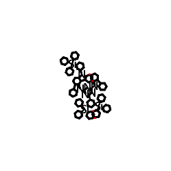 c1ccc([Si](c2ccccc2)(c2ccccc2)c2cccc(-n3c4ccccc4c4c3ccc3c5ccccc5n(-c5nc(-c6cc([Si](c7ccccc7)(c7ccccc7)c7ccccc7)cc([Si](c7ccccc7)(c7ccccc7)c7ccccc7)c6)nc(-n6c7ccccc7c7ccccc76)n5)c34)c2)cc1